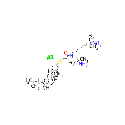 CC(C)CCC[C@@H](C)[C@H]1CC[C@H]2[C@@H]3CC=C4C[C@@H](SSCCC(=O)N(CCCCCCCC(C)(C)N)CCC(C)(C)N)CC[C@]4(C)[C@H]3CC[C@]12C.Cl.Cl